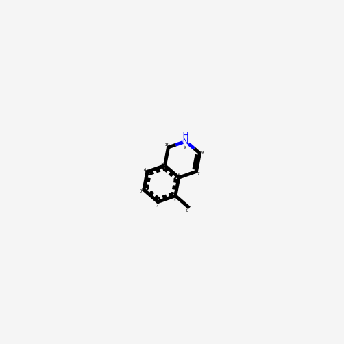 Cc1cccc2c1C=CNC2